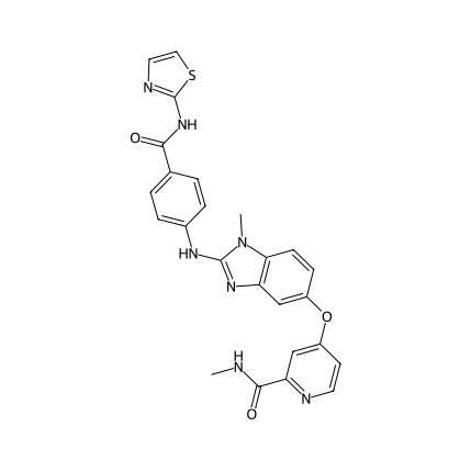 CNC(=O)c1cc(Oc2ccc3c(c2)nc(Nc2ccc(C(=O)Nc4nccs4)cc2)n3C)ccn1